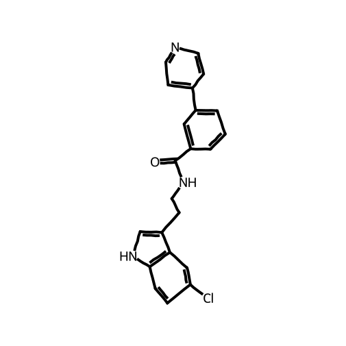 O=C(NCCc1c[nH]c2ccc(Cl)cc12)c1cccc(-c2ccncc2)c1